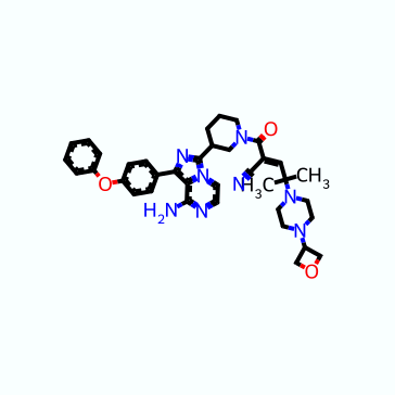 CC(C)(C=C(C#N)C(=O)N1CCCC(c2nc(-c3ccc(Oc4ccccc4)cc3)c3c(N)nccn23)C1)N1CCN(C2COC2)CC1